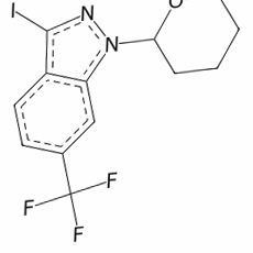 FC(F)(F)c1ccc2c(I)nn(C3CCCCO3)c2c1